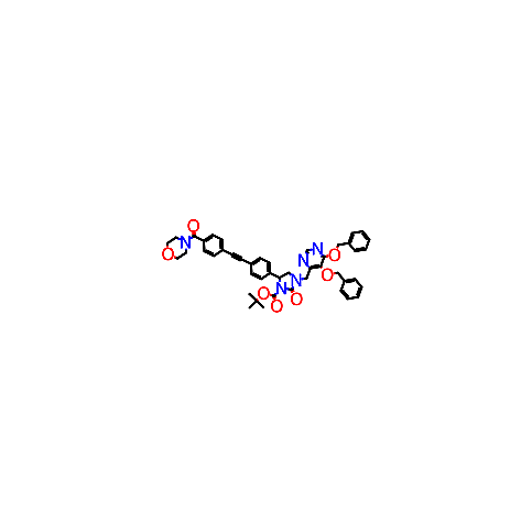 CC(C)(C)OC(=O)N1C(=O)N(Cc2ncnc(OCc3ccccc3)c2OCc2ccccc2)CC1c1ccc(C#Cc2ccc(C(=O)N3CCOCC3)cc2)cc1